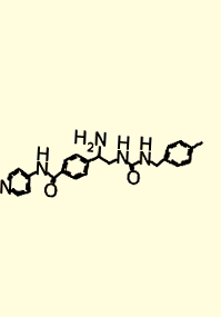 Cc1ccc(CNC(=O)NCC(N)c2ccc(C(=O)Nc3ccncc3)cc2)cc1